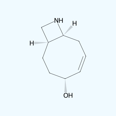 O[C@H]1/C=C\C[C@@H]2NC[C@@H]2CC1